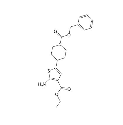 CCOC(=O)c1cc(C2CCN(C(=O)OCc3ccccc3)CC2)sc1N